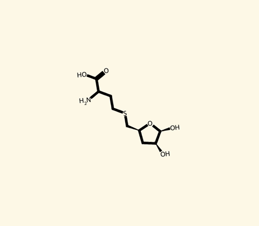 NC(CCSC[C@@H]1C[C@H](O)[C@H](O)O1)C(=O)O